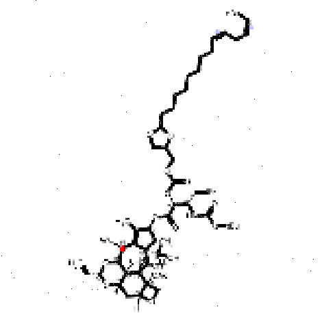 C=C[C@H]1O[C@H]2C[C@H]3OC[C@@]3(OC(C)=O)[C@H]3[C@H](O)[C@]4(C(C)(C)O)C[C@H](OC(=O)[C@H](OC(=O)OCC5COC(CCCCCCCC/C=C\C/C=C\CCCC)O5)[C@H](CC(C)C)NC(=O)OC(C)(C)C)C(C)=C4[C@H](OC(C)=O)[C@H](O1)[C@]23C